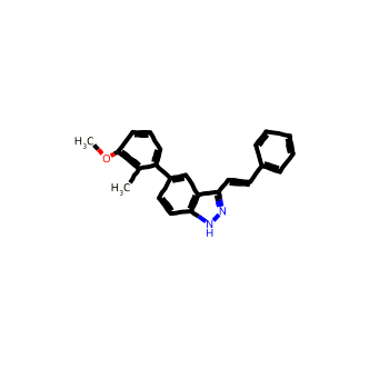 COc1cccc(-c2ccc3[nH]nc(C=Cc4ccccc4)c3c2)c1C